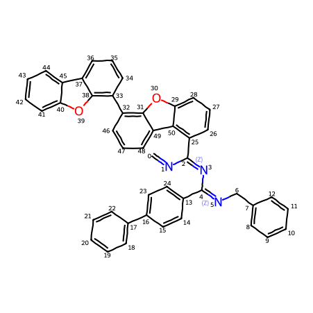 C=N/C(=N\C(=N/Cc1ccccc1)c1ccc(-c2ccccc2)cc1)c1cccc2oc3c(-c4cccc5c4oc4ccccc45)cccc3c12